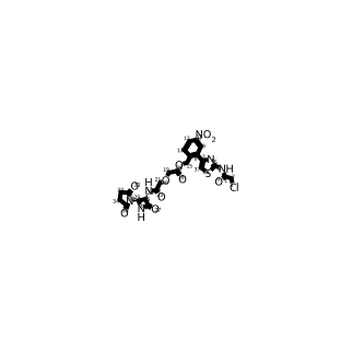 O=C(CCl)Nc1nc(-c2cc([N+](=O)[O-])ccc2COC(=O)COCC(=O)N[C@@H]2C(=O)N[C@H]2N2C(=O)CCC2=O)cs1